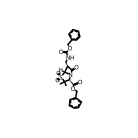 CC1(C)[C@H](C(=O)OCc2ccccc2)N2C(=O)[C@H](CNC(=O)OCc3ccccc3)[C@H]2S1(=O)=O